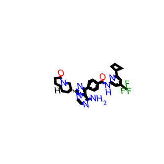 Nc1nccn2c([C@@H]3CC[C@H]4CCC(=O)N4C3)nc(-c3ccc(C(=O)Nc4cc(C(F)(F)F)cc(C5CCC5)n4)cc3)c12